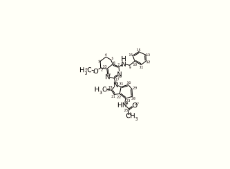 COC1CCCc2c(NCc3ccccc3)nc(-n3c(C)cc4c(NC(C)=O)cccc43)nc21